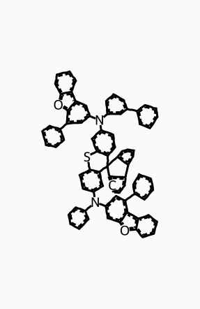 c1ccc(-c2cccc(N(c3ccc4c(c3)Sc3ccc(N(c5ccccc5)c5cc(-c6ccccc6)c6c(c5)oc5ccccc56)cc3C43c4ccccc4-c4ccccc43)c3cc(-c4ccccc4)c4oc5ccccc5c4c3)c2)cc1